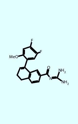 COc1cc(F)c(F)cc1C1=CCCc2ccc(C(=O)N=C(N)N)cc21